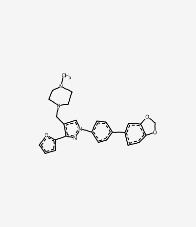 CN1CCN(Cc2cn(-c3ccc(-c4ccc5c(c4)OCO5)cc3)nc2-c2ccco2)CC1